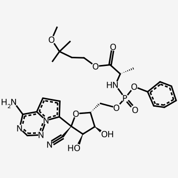 COC(C)(C)CCOC(=O)[C@H](C)NP(=O)(OC[C@H]1O[C@@](C#N)(c2ccc3c(N)ncnn23)[C@H](O)[C@@H]1O)Oc1ccccc1